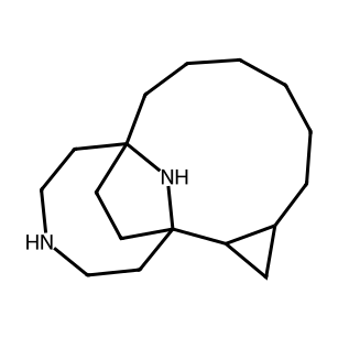 C1CCCC23CCNCCC(CC2)(N3)C2CC2CC1